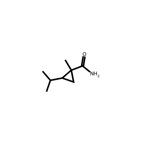 CC(C)[C]1CC1(C)C(N)=O